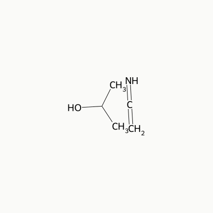 C=C=N.CC(C)O